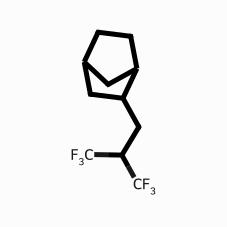 FC(F)(F)C(CC1CC2CCC1C2)C(F)(F)F